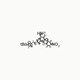 CC(C)(C)c1cnc(CSc2cnc(N(Cc3ccc([N+](=O)[O-])cc3)C(=O)C3CCNCC3)s2)o1